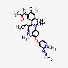 C=C/N=c1/cc(Oc2ccc(N(C)/C(=C(\C#N)C=C)c3cc(BC(C)=O)c(C)cc3C)cc2C)ccn1C